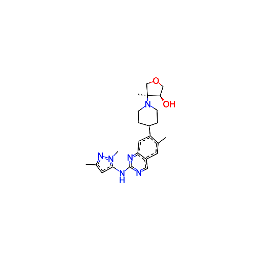 Cc1cc(Nc2ncc3cc(C)c(C4CCN([C@@]5(C)COC[C@H]5O)CC4)cc3n2)n(C)n1